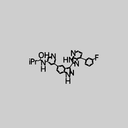 CC(C)C(O)Nc1cncc(-c2ccc3[nH]nc(-c4nc5c(-c6cccc(F)c6)ccnc5[nH]4)c3c2)c1